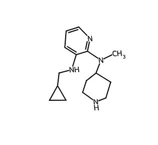 CN(c1ncccc1NCC1CC1)C1CCNCC1